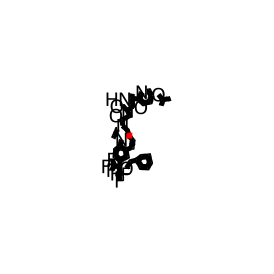 C/C=C\c1cc(C(OCc2ccccc2)(C(F)(F)F)C(F)(F)F)ccc1N1CCN(C(=O)CN2C(=O)NC(C)(c3ccc(OC(C)C)cn3)C2=O)CC1